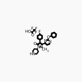 Cn1c(-c2ccnc(Oc3ccccc3)n2)c(-c2ccc(F)cc2)c(=O)n1C1CCNCC1.O=C(O)C(F)(F)F